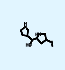 CSC1CNC(C(O)C2CCNC2)C1